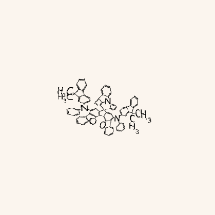 CC1(C)c2ccccc2-c2ccc(N(c3ccccc3)c3cc4c(c5oc6ccccc6c35)-c3c(cc(N(c5ccccc5)c5ccc6c(c5)C(C)(C)c5ccccc5-6)c5c3oc3ccccc35)C43c4ccccc4-n4c5ccccc5c5cccc3c54)cc21